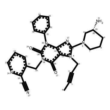 CC#CCn1c(N2CCC[C@@H](N)C2)nc2c1c(=O)n(Cc1cccnc1C#N)c(=O)n2-c1ccccc1